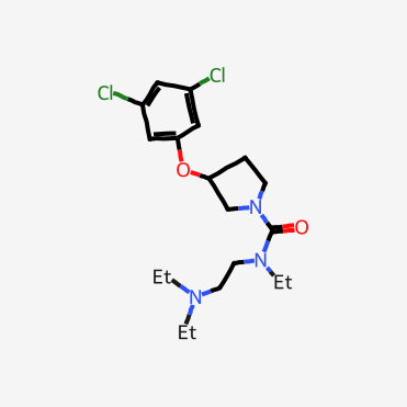 CCN(CC)CCN(CC)C(=O)N1CCC(Oc2cc(Cl)cc(Cl)c2)C1